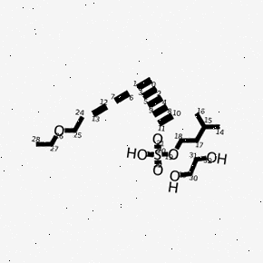 C=C.C=C.C=C.C=C.C=C.C=C.C=C.CC(C)CCOS(=O)(=O)O.CCOCC.OCCO